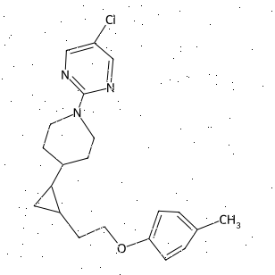 Cc1ccc(OCCC2CC2C2CCN(c3ncc(Cl)cn3)CC2)cc1